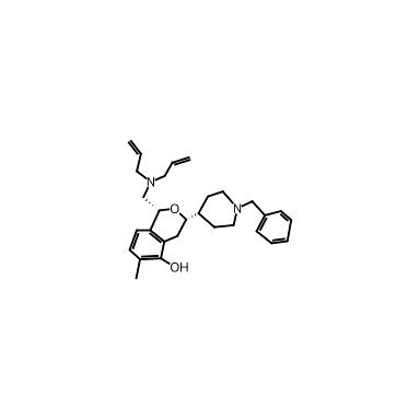 C=CCN(CC=C)C[C@@H]1O[C@H](C2CCN(Cc3ccccc3)CC2)Cc2c1ccc(C)c2O